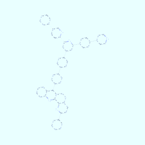 c1ccc(-c2ccc(-c3cc(-c4ccc(-c5ccc(-c6c7ccccc7nc7c6ccc6ccc(-c8ccccc8)nc67)cc5)cc4)cc(-c4ccc(-c5ccncc5)cc4)n3)nc2)cc1